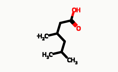 [CH2]C(CC(=O)O)CC(C)C